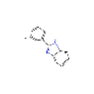 Cc1cccc(-c2nc3ccccc3[nH]2)c1